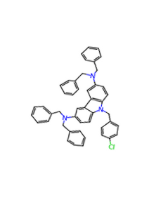 Clc1ccc(Cn2c3ccc(N(Cc4ccccc4)Cc4ccccc4)cc3c3cc(N(Cc4ccccc4)Cc4ccccc4)ccc32)cc1